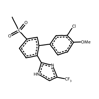 COc1ccc(-c2cc(S(C)(=O)=O)ccc2-c2nc(C(F)(F)F)c[nH]2)cc1Cl